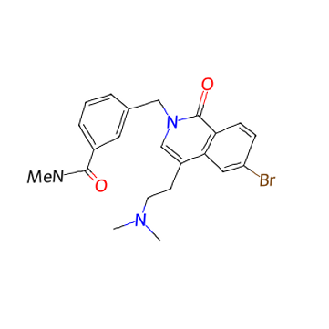 CNC(=O)c1cccc(Cn2cc(CCN(C)C)c3cc(Br)ccc3c2=O)c1